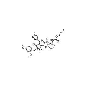 CCCCOC(=O)N[C@H]1CCCC[C@H]1Nc1nc(-c2cnn(C)c2)c2c(c1F)C(C)(C)N(Cc1ccc(OC)cc1OC)C2=O